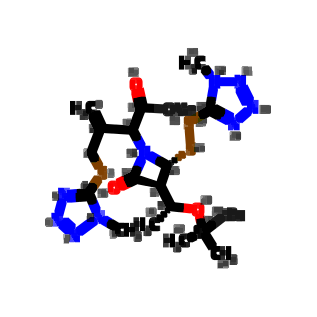 C=C(CSc1nnnn1C)C(C(=O)OC)N1C(=O)[C@H]([C@@H](C)O[Si](C)(C)C(C)(C)C)[C@H]1SSc1nnnn1C